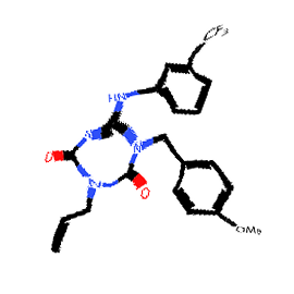 C=CCn1c(=O)nc(Nc2cccc(C(F)(F)F)c2)n(Cc2ccc(OC)cc2)c1=O